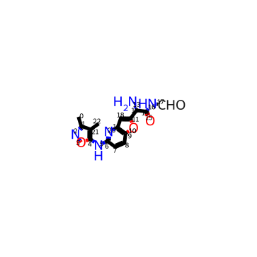 Cc1noc(Nc2ccc3oc([C@@H](N)C(=O)NC=O)cc3n2)c1C